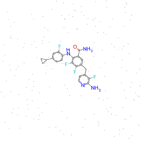 NC(=O)c1cc(Cc2ccnc(N)c2F)c(F)c(F)c1Nc1ccc(C2CC2)cc1F